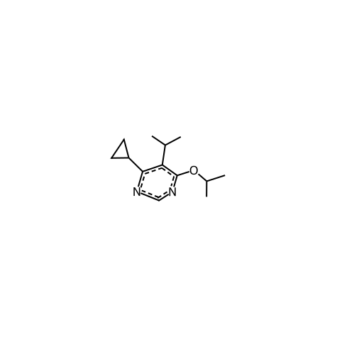 CC(C)Oc1ncnc(C2CC2)c1C(C)C